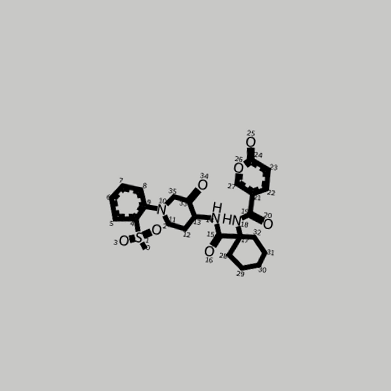 CS(=O)(=O)c1ccccc1N1CCC(NC(=O)C2(NC(=O)c3ccc(=O)oc3)CCCCC2)C(=O)C1